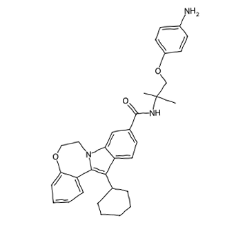 CC(C)(COc1ccc(N)cc1)NC(=O)c1ccc2c(C3CCCCC3)c3n(c2c1)CCOc1ccccc1-3